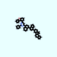 CC1(C)c2ccc(-c3ccc(-c4ccc(-c5cc(-c6cccc7oc8ccccc8c67)nc(-c6ccccc6)n5)c5ccccc45)c4ccccc34)cc2-c2ccc3ccccc3c21